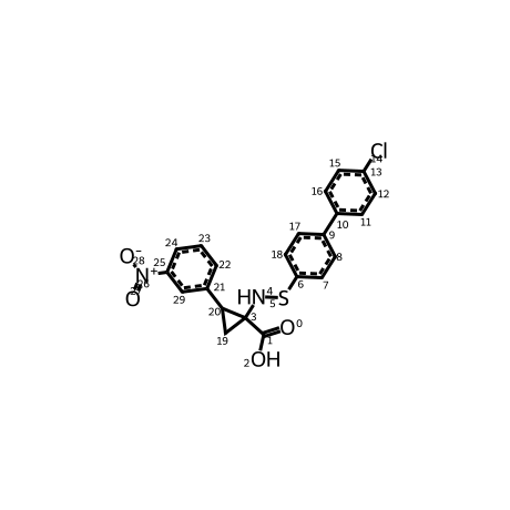 O=C(O)C1(NSc2ccc(-c3ccc(Cl)cc3)cc2)CC1c1cccc([N+](=O)[O-])c1